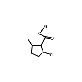 CCOC(=O)C1C(C)CCN1Cl